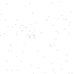 COC1CN(CCc2nn(C(C(N)=O)C(CC(C)C)SC)c(=O)c(C)c2C)C1